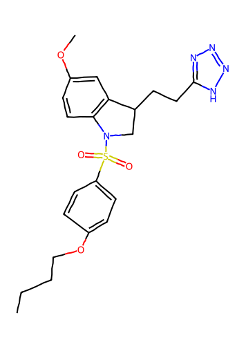 CCCCOc1ccc(S(=O)(=O)N2CC(CCc3nnn[nH]3)c3cc(OC)ccc32)cc1